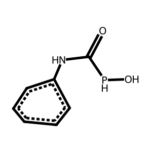 O=C(Nc1ccccc1)PO